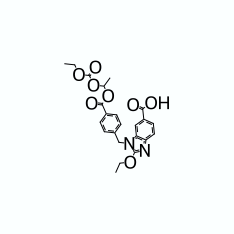 CCOC(=O)OC(C)OC(=O)c1ccc(Cn2c(OCC)nc3ccc(C(=O)O)cc32)cc1